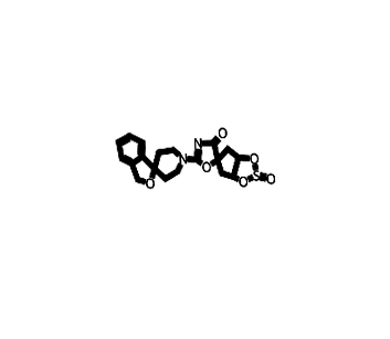 O=C1N=C(N2CCC3(CC2)OCc2ccccc23)OC12CC1OS(=O)OC1C2